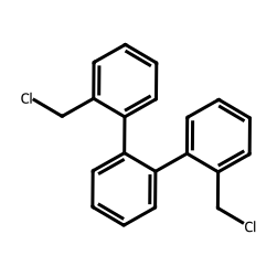 ClCc1ccccc1-c1ccccc1-c1ccccc1CCl